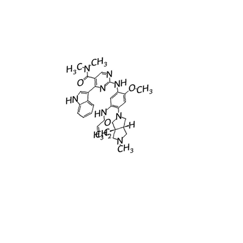 C=CC(=O)Nc1cc(Nc2ncc(C(=O)N(C)C)c(-c3c[nH]c4ccccc34)n2)c(OC)cc1N1C[C@@H]2CN(C)C[C@]2(C)C1